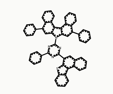 c1ccc(-c2nc(-c3cc4ccccc4c4c3sc3ccccc34)nc(-n3c4cc(-c5ccccc5)c5ccccc5c4c4c5ccccc5c(-c5ccccc5)cc43)n2)cc1